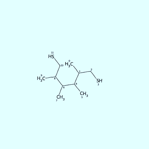 CC(CS)C(C)C(C)C(C)CS